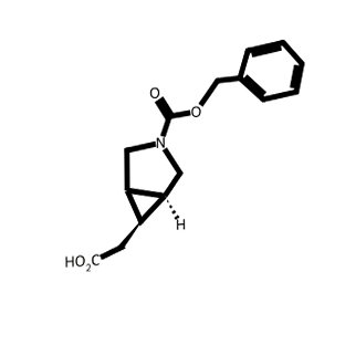 O=C(O)C[C@H]1C2CN(C(=O)OCc3ccccc3)C[C@H]21